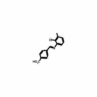 Cc1cccc(N=Cc2ccc(C(=O)O)cc2)c1Cl